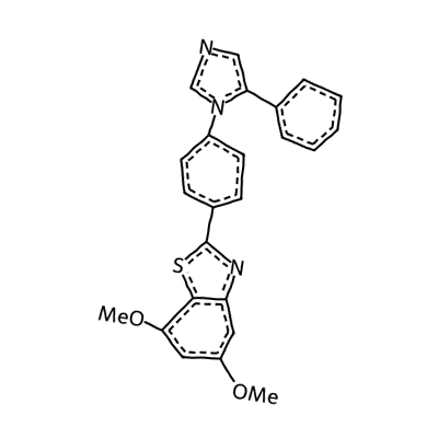 COc1cc(OC)c2sc(-c3ccc(-n4cncc4-c4ccccc4)cc3)nc2c1